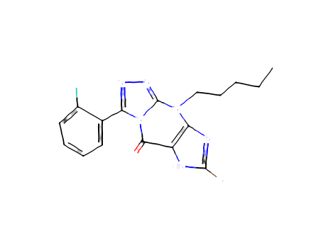 CCCCCn1c2nc(Br)[nH]c2c(=O)n2c(-c3ccccc3F)nnc12